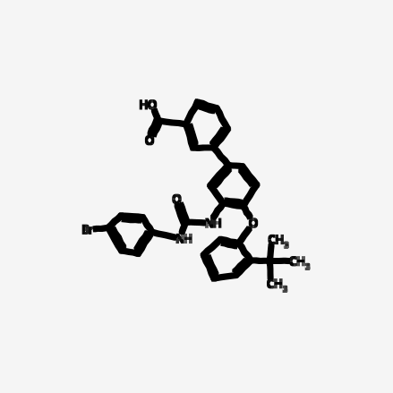 CC(C)(C)c1ccccc1Oc1ccc(-c2cccc(C(=O)O)c2)cc1NC(=O)Nc1ccc(Br)cc1